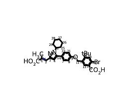 C/C(=C\c1cc(-c2ccc(OCc3cc(C(=O)O)c(Br)cc3C(C)(C)C)cc2)n(C2CCCCC2)n1)C(=O)O